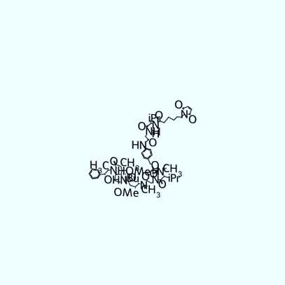 CC[C@H](C)[C@@H]([C@@H](CC(=O)N1CCC[C@H]1[C@H](OC)[C@@H](C)C(=O)N[C@H](C)[C@@H](O)c1ccccc1)OC)N(C)C(=O)CNC(=O)C(C(C)C)N(C)C(=O)OCc1ccc(NC(=O)CNC(=O)C(NC(=O)CCCCCN2C(=O)C=CC2=O)C(C)C)cc1